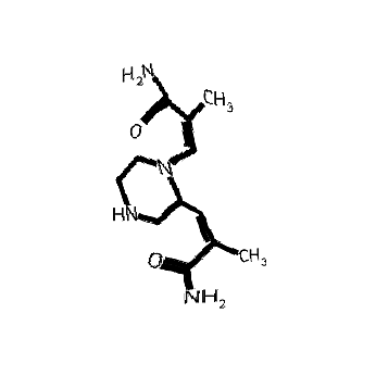 CC(=CC1CNCCN1C=C(C)C(N)=O)C(N)=O